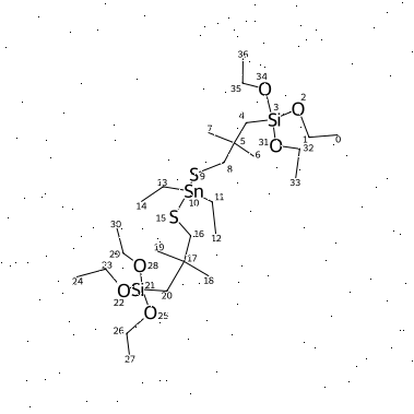 CCO[Si](CC(C)(C)C[S][Sn]([CH2]C)([CH2]C)[S]CC(C)(C)C[Si](OCC)(OCC)OCC)(OCC)OCC